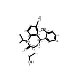 CC(C)N1C(=O)[C@@H](CCO)O[C@H](c2ccccc2Cl)c2cc(Cl)ccc21